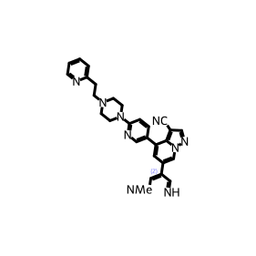 CN/C=C(\C=N)c1cc(-c2ccc(N3CCN(CCc4ccccn4)CC3)nc2)c2c(C#N)cnn2c1